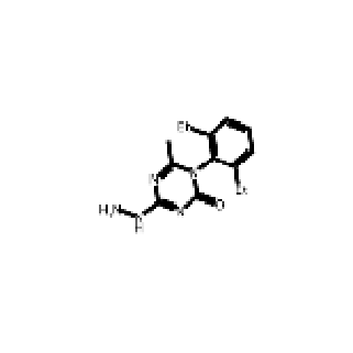 CCc1cccc(CC)c1-n1c(C)nc(NN)nc1=O